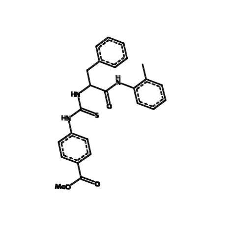 COC(=O)c1ccc(NC(=S)NC(Cc2ccccc2)C(=O)Nc2ccccc2C)cc1